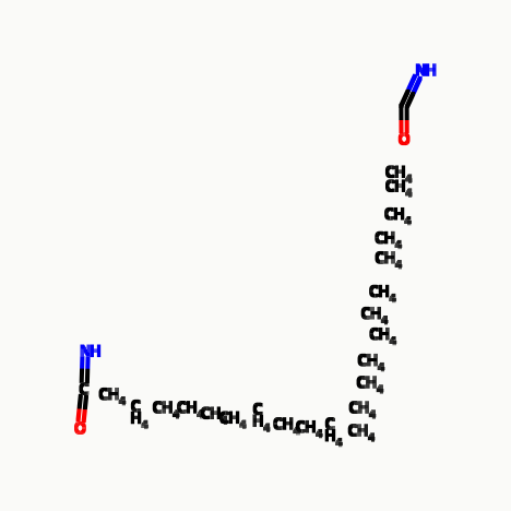 C.C.C.C.C.C.C.C.C.C.C.C.C.C.C.C.C.C.C.C.C.C.N=C=O.N=C=O